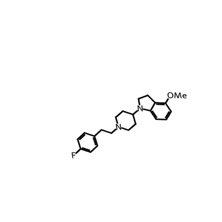 COc1cccc2c1CCN2C1CCN(CCc2ccc(F)cc2)CC1